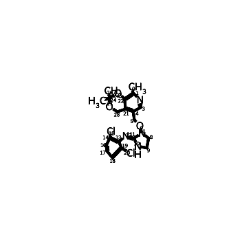 Cc1ncc(CON2CCNC2=Nc2c(Cl)cccc2Cl)c2c1OC(C)(C)OC2